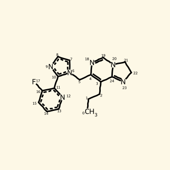 CCCC1=C(Cn2ccnc2-c2ncccc2F)N=CN2CCN=C12